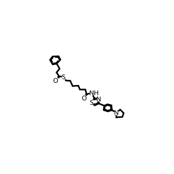 O=C(CCCCCCSC(=O)CCc1ccccc1)Nc1nc(-c2ccc(N3CCCC3)cc2)cs1